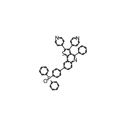 O=P(c1ccccc1)(c1ccccc1)c1ccc(-c2ccc3nc(-c4ccccc4)c4c(-c5ccncc5)c(-c5ccncc5)sc4c3c2)cc1